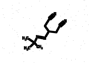 CC(C)(C)N=NC(CC#N)CC#N